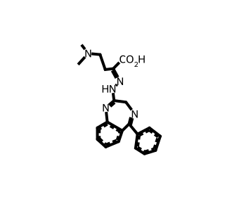 CN(C)CCC(=NNC1=Nc2ccccc2C(c2ccccc2)=NC1)C(=O)O